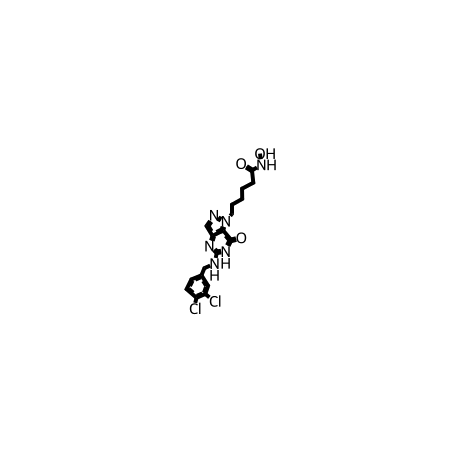 O=C(CCCCCn1ncc2nc(NCc3ccc(Cl)c(Cl)c3)[nH]c(=O)c21)NO